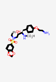 CC(C)CN(C[C@H](O)[C@H](Cc1ccc(OCCN)cc1)NC(=O)O)S(=O)(=O)c1ccc2c(c1)OCO2